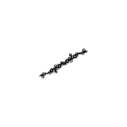 C=CC(=O)OCCCCOc1ccc(/C=C(\C#N)C(=O)Oc2ccc(/C(C)=N/N=C(\C)c3ccc(OC(=O)/C(C#N)=C/c4ccc(OCCCCOC(=O)C=C)cc4)cc3)cc2)cc1